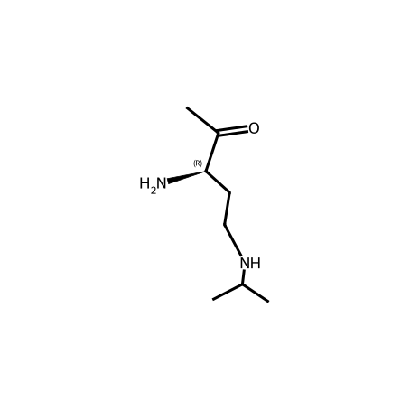 CC(=O)[C@H](N)CCNC(C)C